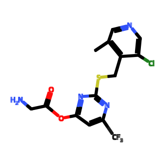 Cc1cncc(Cl)c1CSc1nc(OC(=O)CN)cc(C(F)(F)F)n1